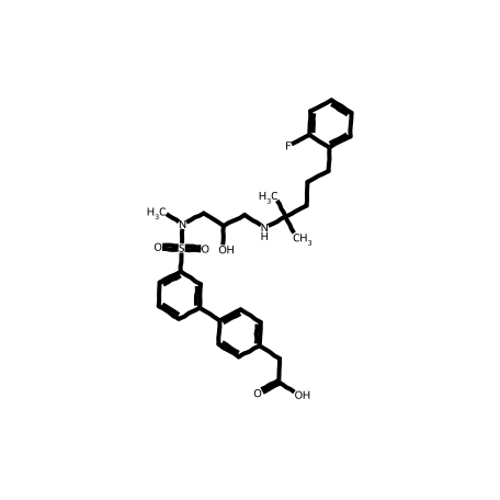 CN(CC(O)CNC(C)(C)CCCc1ccccc1F)S(=O)(=O)c1cccc(-c2ccc(CC(=O)O)cc2)c1